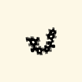 O=C(NCc1ccn2ccnc2c1)c1ccc(C2CCN(C(=O)c3cc(F)cc(F)c3)C2)s1